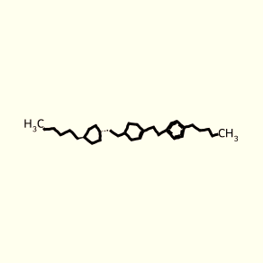 CCCCCC[C@H]1CC[C@H](CCC2CC=C(CCc3ccc(CCCCC)cc3)CC2)CC1